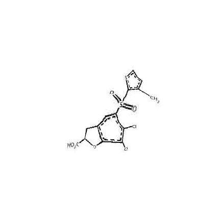 Cc1ccsc1S(=O)(=O)c1cc2c(c(Cl)c1Cl)OC(C(=O)O)C2